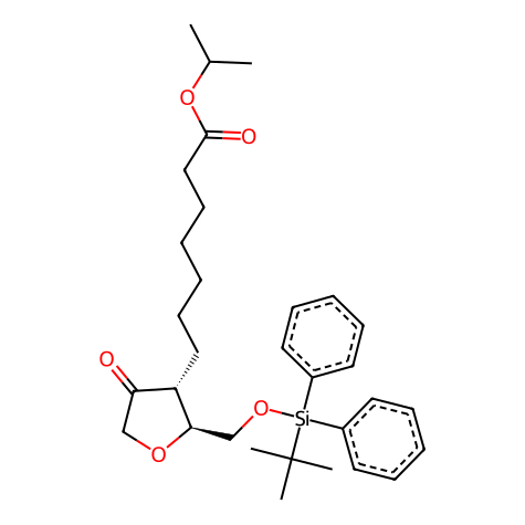 CC(C)OC(=O)CCCCCC[C@H]1C(=O)CO[C@@H]1CO[Si](c1ccccc1)(c1ccccc1)C(C)(C)C